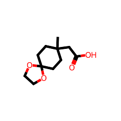 CC1(CC(=O)O)CCC2(CC1)OCCO2